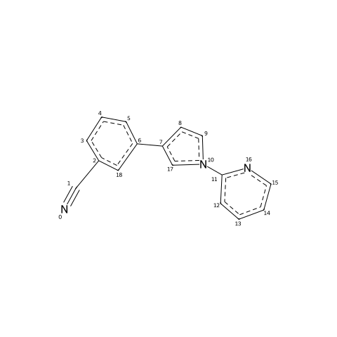 N#Cc1cccc(-c2ccn(-c3ccccn3)c2)c1